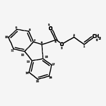 C=CCOC(=O)C1c2ccccc2-c2ccccc21